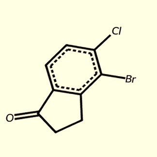 O=C1CCc2c1ccc(Cl)c2Br